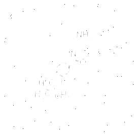 CC(C)(C)Cc1ccc2c(c1)C(=O)N(CCN)C2